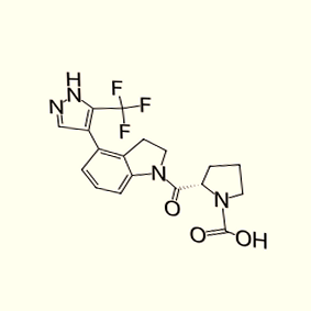 O=C([C@@H]1CCCN1C(=O)O)N1CCc2c(-c3cn[nH]c3C(F)(F)F)cccc21